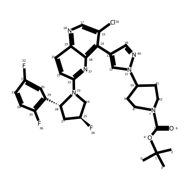 CC(C)(C)OC(=O)N1CCC(n2cc(-c3c(Cl)cnc4ccc(N5C[C@@H](F)C[C@@H]5c5cc(F)ccc5F)nc34)cn2)CC1